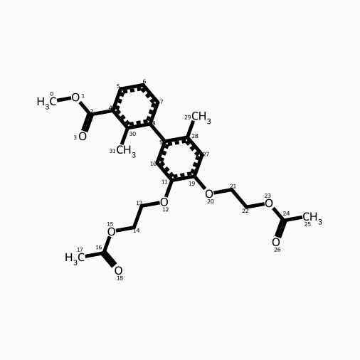 COC(=O)c1cccc(-c2cc(OCCOC(C)=O)c(OCCOC(C)=O)cc2C)c1C